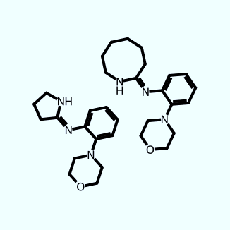 c1ccc(N2CCOCC2)c(N=C2CCCCCCN2)c1.c1ccc(N2CCOCC2)c(N=C2CCCN2)c1